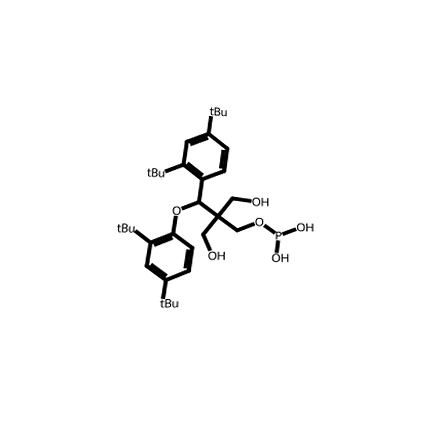 CC(C)(C)c1ccc(OC(c2ccc(C(C)(C)C)cc2C(C)(C)C)C(CO)(CO)COP(O)O)c(C(C)(C)C)c1